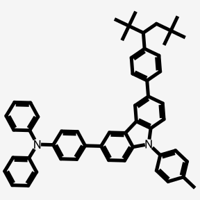 Cc1ccc(-n2c3ccc(-c4ccc(C(CC(C)(C)C)C(C)(C)C)cc4)cc3c3cc(-c4ccc(N(c5ccccc5)c5ccccc5)cc4)ccc32)cc1